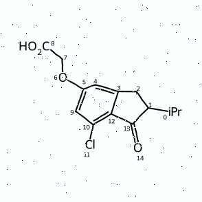 CC(C)C1Cc2cc(OCC(=O)O)cc(Cl)c2C1=O